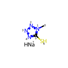 Cn1nnnc1S.[NaH]